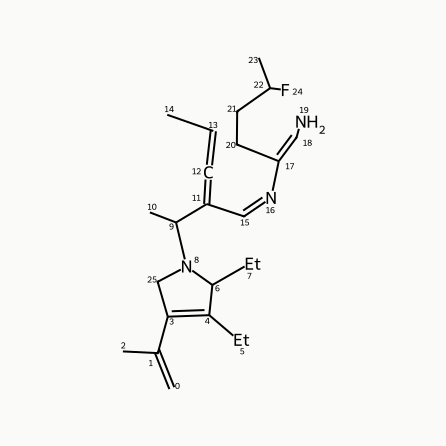 C=C(C)C1=C(CC)C(CC)N(C(C)C(=C=CC)/C=N\C(=C\N)CCC(C)F)C1